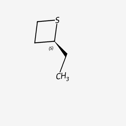 CC[C@H]1CCS1